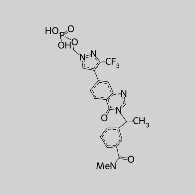 CNC(=O)c1cccc([C@@H](C)n2cnc3cc(-c4cn(COP(=O)(O)O)nc4C(F)(F)F)ccc3c2=O)c1